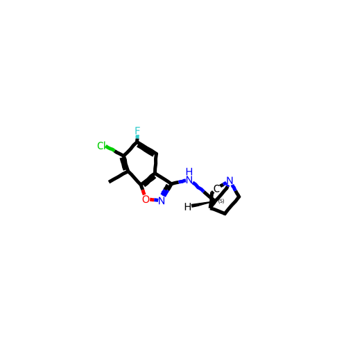 Cc1c(Cl)c(F)cc2c(N[C@@H]3CN4CCC3CC4)noc12